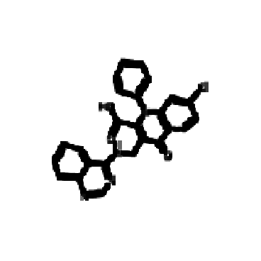 O=C(O)c1c(CNc2ncnc3ccccc23)c(=O)c2ccc(Cl)cc2n1-c1ccccc1